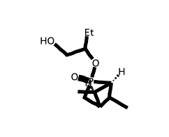 CCC(CO)OP1(=O)CC2C(C)[C@H]1[C@@H]2C